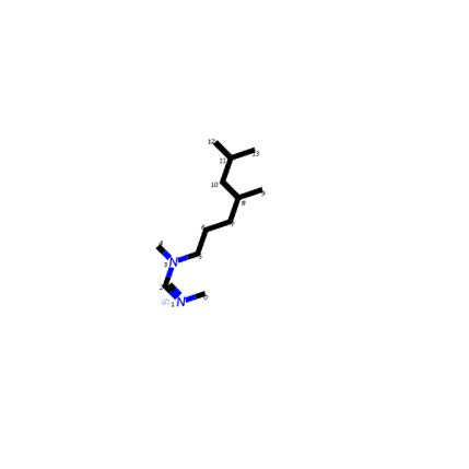 C/N=C\N(C)CCCC(C)CC(C)C